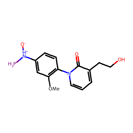 COc1cc([NH+]([O-])P)ccc1-n1cccc(CCO)c1=O